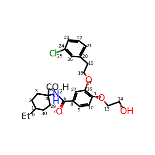 CCC1CCC(NC(=O)c2ccc(OCCO)c(OCCc3cccc(Cl)c3)c2)(C(=O)O)CC1